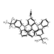 CC(C)(C)c1ccc2c(c1)c1ccccc1n2-c1cc(C#N)cc(-n2c3ccccc3c3cc(C(C)(C)C)ccc32)c1-c1c(F)cccc1F